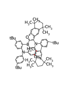 Cc1cc2c3c(c1)N(c1ccc(C(C)(C)C)cc1-c1cc4c(cc1C)C(C)(C)CCC4(C)C)c1c(oc4cc5c(cc14)C(C)(C)CCC5(C)C)B3c1cc(C(C)(C)C)ccc1N2c1ccc(C(C)(C)C)cc1